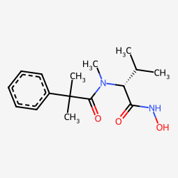 CC(C)[C@H](C(=O)NO)N(C)C(=O)C(C)(C)c1ccccc1